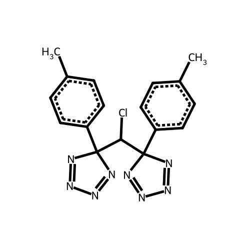 Cc1ccc(C2(C(Cl)C3(c4ccc(C)cc4)N=NN=N3)N=NN=N2)cc1